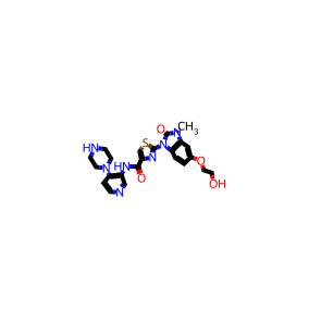 Cn1c(=O)n(-c2nc(C(=O)Nc3cnccc3N3CCNCC3)cs2)c2ccc(OCCO)cc21